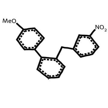 COc1ccc(-c2c[c]ccc2Cc2cccc([N+](=O)[O-])c2)cc1